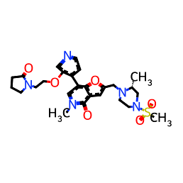 C[C@@H]1CN(S(C)(=O)=O)CCN1Cc1cc2c(=O)n(C)cc(-c3ccncc3OCCN3CCCC3=O)c2o1